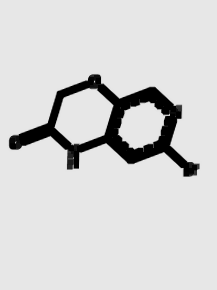 O=C1COc2cnc(Br)cc2N1